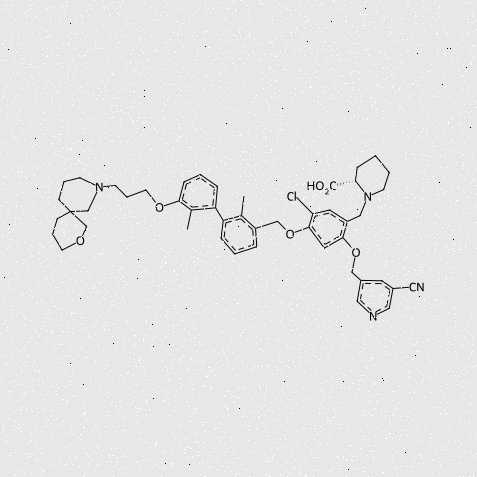 Cc1c(COc2cc(OCc3cncc(C#N)c3)c(CN3CCCC[C@H]3C(=O)O)cc2Cl)cccc1-c1cccc(OCCCN2CCCC3(CCCOC3)C2)c1C